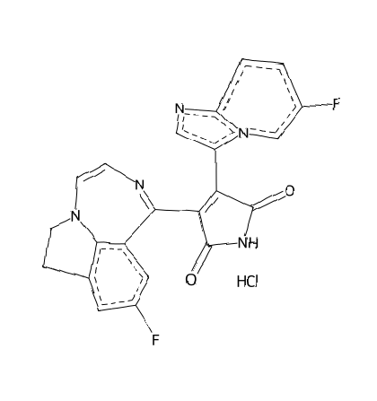 Cl.O=C1NC(=O)C(c2cnc3ccc(F)cn23)=C1C1=NC=CN2CCc3cc(F)cc1c32